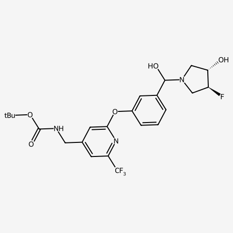 CC(C)(C)OC(=O)NCc1cc(Oc2cccc(C(O)N3C[C@H](O)[C@@H](F)C3)c2)nc(C(F)(F)F)c1